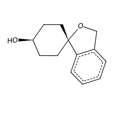 O[C@H]1CC[C@@]2(CC1)OCc1ccccc12